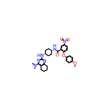 COc1ccc(Oc2ccc([N+](=O)[O-])cc2C(=O)N[C@H]2CC[C@@H](Nc3nc4c(c(N(C)C)n3)CCCC4)CC2)cc1